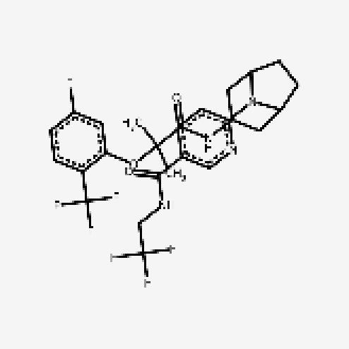 CC(C)(Oc1cc(F)ccc1C(F)(F)F)C(=O)NC1CC2CCC(C1)N2c1ccc(C(=O)NCC(F)(F)F)cn1